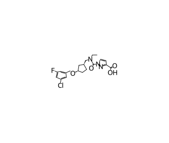 CCN(C[C@H]1CC[C@@H](OCc2cc(F)cc(Cl)c2)C1)C(=O)n1ccc(C(=O)O)n1